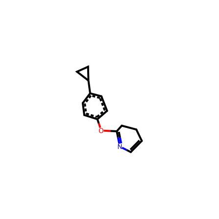 C1=CN=C(Oc2ccc(C3CC3)cc2)CC1